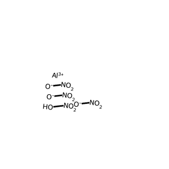 O=[N+]([O-])O.O=[N+]([O-])[O-].O=[N+]([O-])[O-].O=[N+]([O-])[O-].[Al+3]